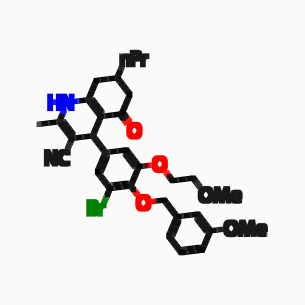 CCCC1CC(=O)C2=C(C1)NC(C)=C(C#N)C2c1cc(Br)c(OCc2cccc(OC)c2)c(OCCOC)c1